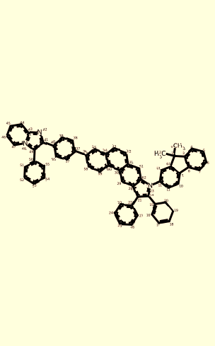 CC1(C)c2ccccc2-c2ccc(-n3c(C4=CC=CCC4)c(-c4ccccc4)c4cc5c(ccc6cc(-c7ccc(-c8nc9ccccn9c8-c8ccccc8)cc7)ccc65)cc43)cc21